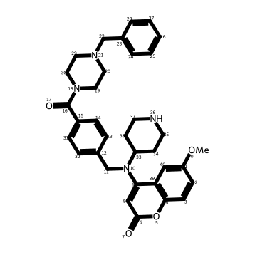 COc1ccc2oc(=O)cc(N(Cc3ccc(C(=O)N4CCN(Cc5ccccc5)CC4)cc3)C3CCNCC3)c2c1